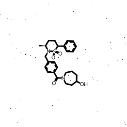 C[C@H]1CCC(c2ccccc2)S(=O)(=O)N1Cc1ccc(C(=O)N2CCCC(O)CC2)cc1